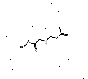 C=C(C)CCNCC(=O)OC(C)(C)C